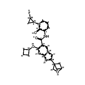 O=C(Nc1cccn([C@H]2C[C@H]2F)c1=O)c1cn2cc(C34COC(C3)C4)nc2nc1OC1CCC1